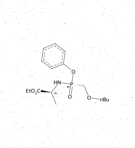 CCCCOC[P@](=O)(N[C@@H](C)C(=O)OCC)Oc1ccccc1